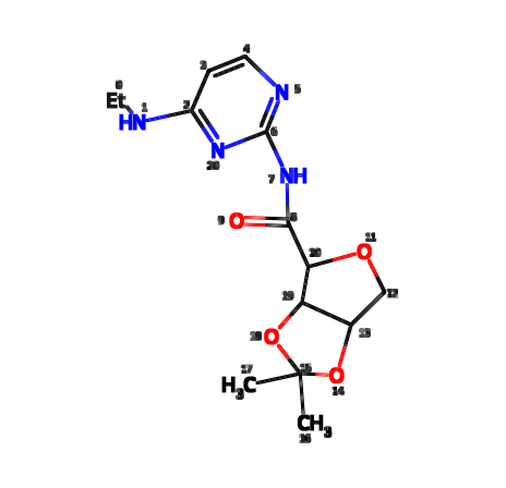 CCNc1ccnc(NC(=O)C2OCC3OC(C)(C)OC32)n1